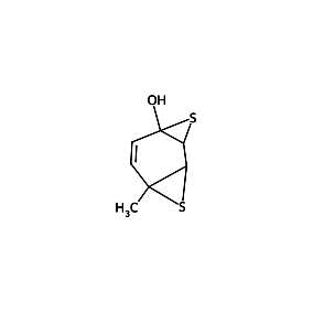 CC12C=CC3(O)SC3C1S2